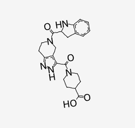 O=C(O)C1CCN(C(=O)c2[nH]nc3c2CN(C(=O)C2Cc4ccccc4N2)CC3)CC1